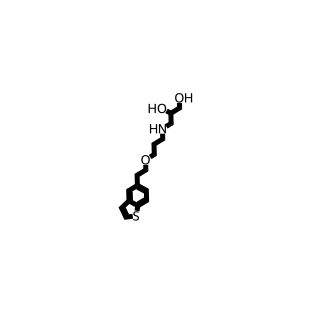 OCC(O)CNCCCOCCc1ccc2sccc2c1